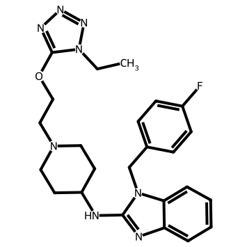 CCn1nnnc1OCCN1CCC(Nc2nc3ccccc3n2Cc2ccc(F)cc2)CC1